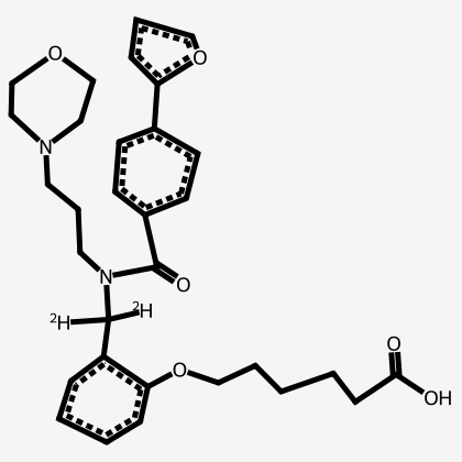 [2H]C([2H])(c1ccccc1OCCCCCC(=O)O)N(CCCN1CCOCC1)C(=O)c1ccc(-c2ccco2)cc1